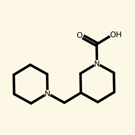 O=C(O)N1CCCC(CN2CCCCC2)C1